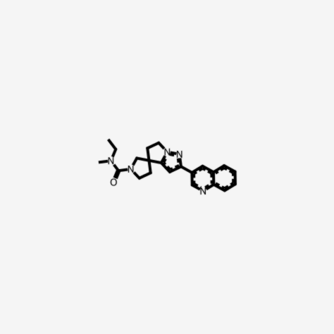 CCN(C)C(=O)N1CCC2(CCn3nc(-c4cnc5ccccc5c4)cc32)C1